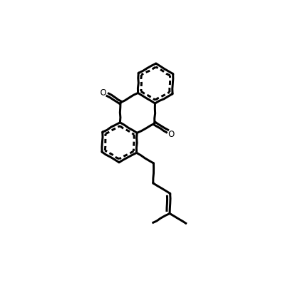 CC(C)=CCCc1cccc2c1C(=O)c1ccccc1C2=O